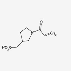 C=CC(=O)N1CCC(CS(=O)(=O)O)C1